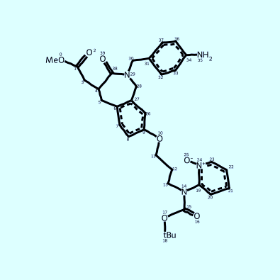 COC(=O)CC1Cc2ccc(OCCCN(C(=O)OC(C)(C)C)c3cccc[n+]3[O-])cc2CN(Cc2ccc(N)cc2)C1=O